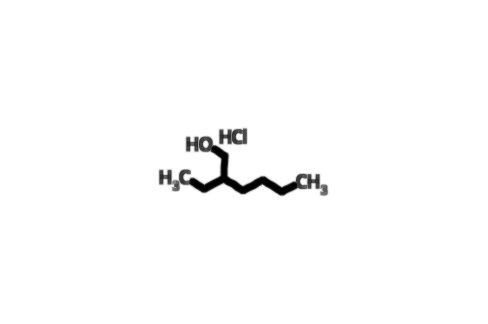 CCCCC(CC)CO.Cl